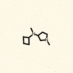 CN1CCC(N(C)C2CCC2)C1